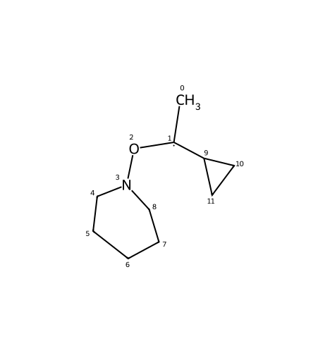 C[C](ON1CCCCC1)C1CC1